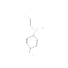 CN(CCO)c1ccc([C]=O)cc1